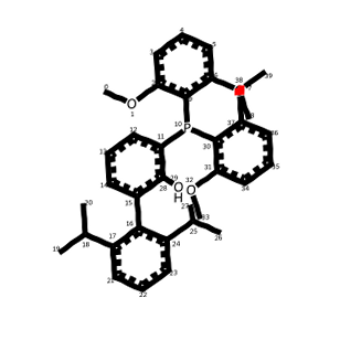 COc1cccc(OC)c1P(c1cccc(-c2c(C(C)C)cccc2C(C)C)c1O)c1c(OC)cccc1OC